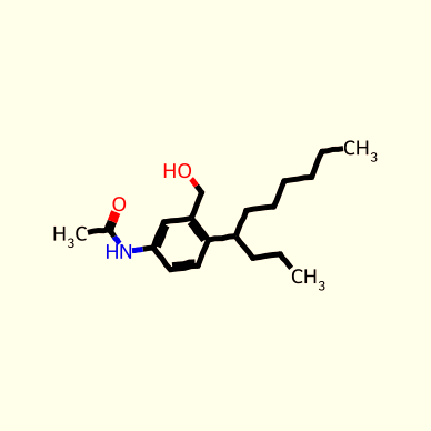 CCCCCCC(CCC)c1ccc(NC(C)=O)cc1CO